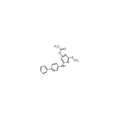 CSc1nc(Nc2ccc(-c3ccccc3)nc2)cc(OC(C)=O)n1